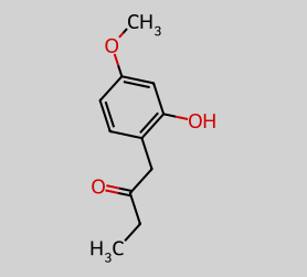 CCC(=O)Cc1ccc(OC)cc1O